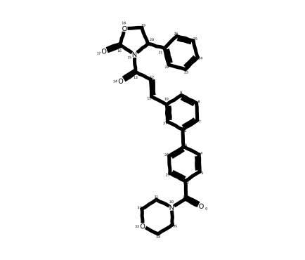 O=C(c1ccc(-c2cccc(C=CC(=O)N3C(=O)OCC3c3ccccc3)c2)cc1)N1CCOCC1